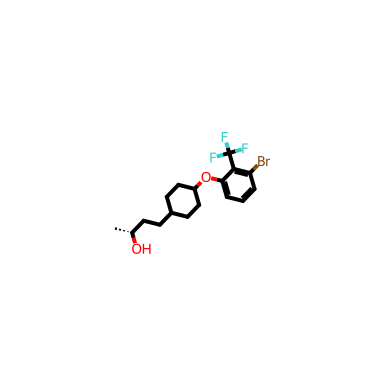 C[C@@H](O)CCC1CCC(Oc2cccc(Br)c2C(F)(F)F)CC1